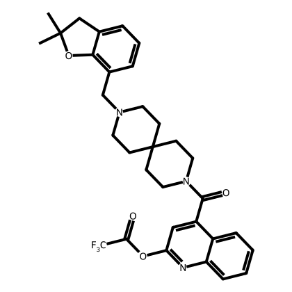 CC1(C)Cc2cccc(CN3CCC4(CC3)CCN(C(=O)c3cc(OC(=O)C(F)(F)F)nc5ccccc35)CC4)c2O1